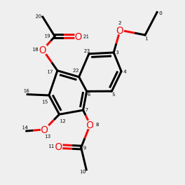 CCOc1ccc2c(OC(C)=O)c(OC)c(C)c(OC(C)=O)c2c1